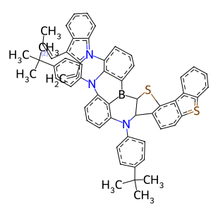 C=Cc1c(/C=C\C)c2ccccc2n1-c1cccc2c1N(c1ccc(C(C)(C)C)cc1)c1cccc3c1B2C1Sc2c(ccc4sc5ccccc5c24)C1N3c1ccc(C(C)(C)C)cc1